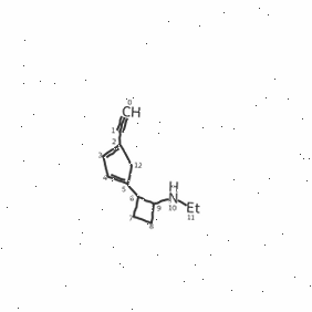 C#CC1=CC=C(C2CCC2NCC)C1